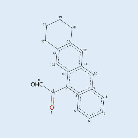 O=CC(=O)c1c2ccccc2cc2cc3c(cc12)CCCC3